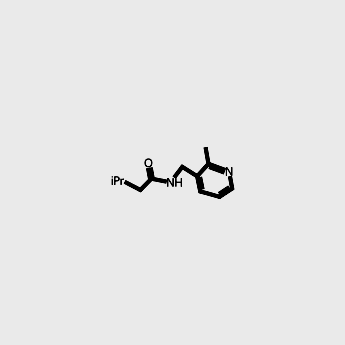 Cc1ncccc1CNC(=O)CC(C)C